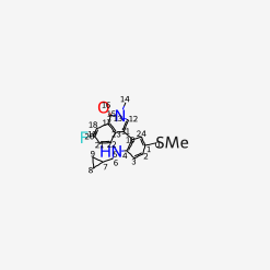 CSc1ccc(NCC2CC2)c(-c2cn(C)c(=O)c3cc(F)ccc23)c1